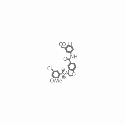 COc1ccc(Cl)cc1S(=O)(=O)N1COc2ccc(C(=O)Nc3cccc(CC(=O)O)c3)cc21